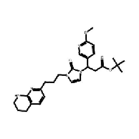 COc1ccc(C(CC(=O)OC(C)(C)C)n2ccn(CCCc3ccc4c(n3)NCCC4)c2=O)cn1